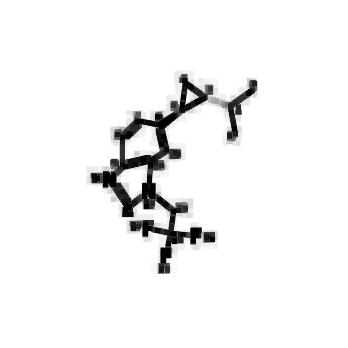 CC(C)[C@H]1C[C@@H]1c1ccc2ncn(CC(F)(F)F)c2c1